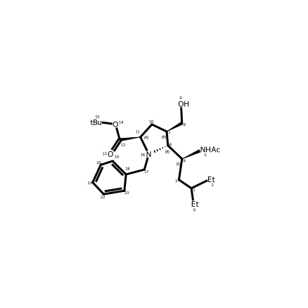 CCC(CC)C[C@H](NC(C)=O)[C@H]1[C@H](CO)C[C@H](C(=O)OC(C)(C)C)N1Cc1ccccc1